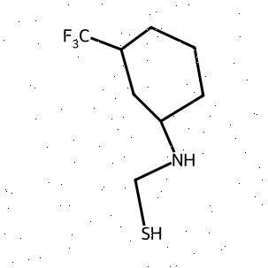 FC(F)(F)C1CCCC(NCS)C1